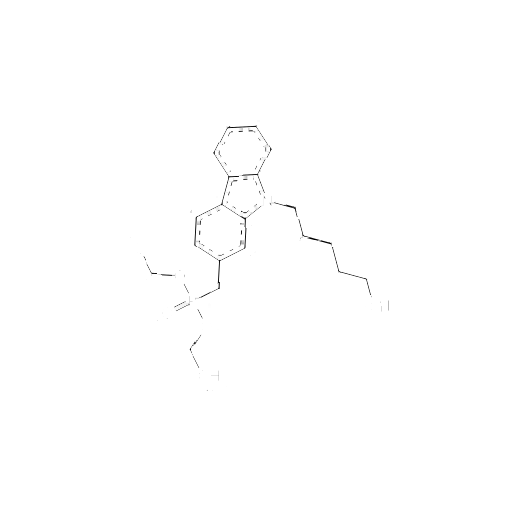 CCCCCCn1c2ccccc2c2ccc(CP(=O)(OCC)OCC)cc21